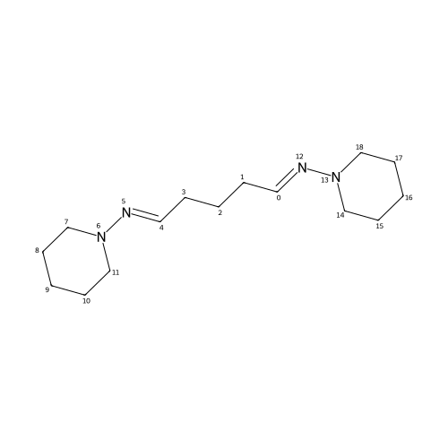 C(CCCC=NN1CCCCC1)=NN1CCCCC1